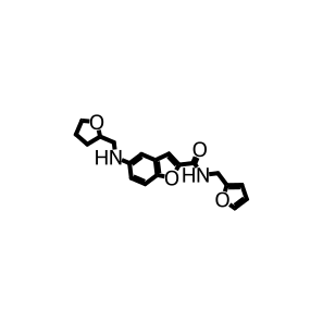 O=C(NCc1ccco1)c1cc2cc(NCC3CCCO3)ccc2o1